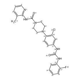 Cc1cccnc1NC(=O)N1CCN(c2ccc(NC(=O)Nc3ccccc3F)cc2Cl)CC1